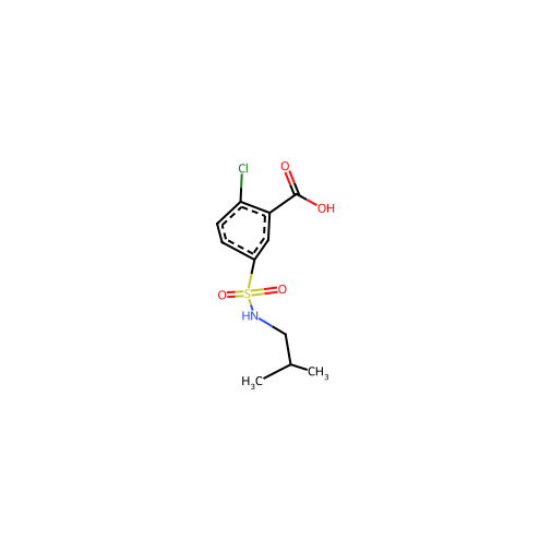 CC(C)CNS(=O)(=O)c1ccc(Cl)c(C(=O)O)c1